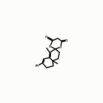 CC1=C2C=C(C(C)C)CCC2(C)CCC12OC(=O)CC(=O)O2